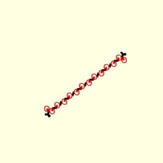 C=C(C)C(=O)OCCOCCOCCOCCOCCOCCOCCOCCOCCOCCOCCOC(=O)C(=C)C